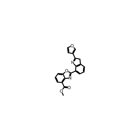 COC(=O)c1cccc2oc(-c3cccc4c3N=C(c3ccoc3)C4)nc12